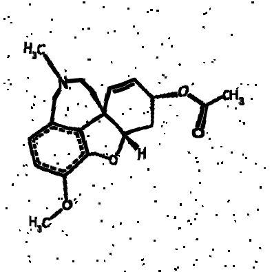 COc1ccc2c3c1O[C@H]1C[C@H](OC(C)=O)C=C[C@@]31CCN(C)C2